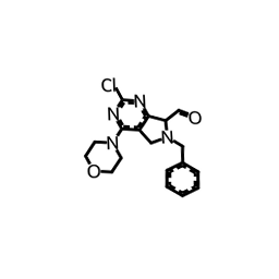 O=CC1c2nc(Cl)nc(N3CCOCC3)c2CN1Cc1ccccc1